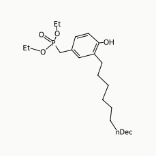 CCCCCCCCCCCCCCCCc1cc(CP(=O)(OCC)OCC)ccc1O